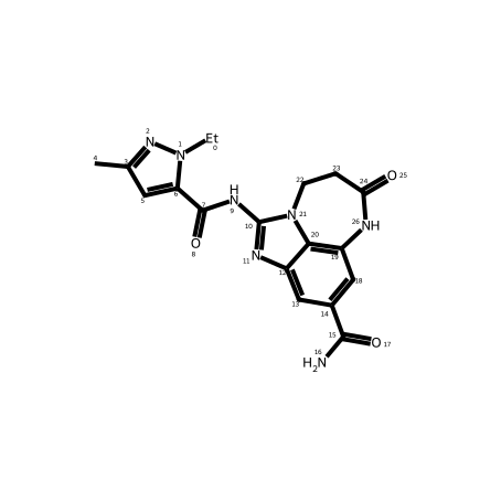 CCn1nc(C)cc1C(=O)Nc1nc2cc(C(N)=O)cc3c2n1CCC(=O)N3